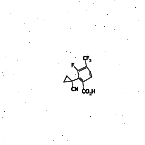 N#CC1(c2c(C(=O)O)ccc(C(F)(F)F)c2F)CC1